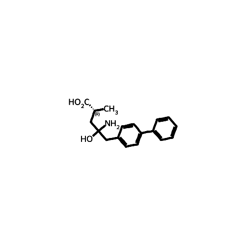 C[C@H](CC(N)(O)Cc1ccc(-c2ccccc2)cc1)C(=O)O